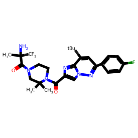 CC(C)(C)c1cc(-c2ccc(F)cc2)nn2cc(C(=O)N3CCN(C(=O)C(C)(N)C(F)(F)F)CC3(C)C)nc12